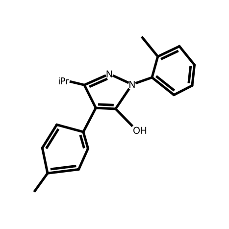 Cc1ccc(-c2c(C(C)C)nn(-c3ccccc3C)c2O)cc1